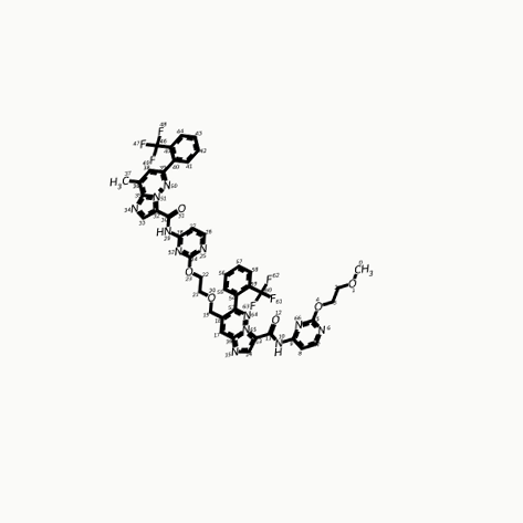 COCCOc1nccc(NC(=O)c2cnc3cc(COCCOc4nccc(NC(=O)c5cnc6c(C)cc(-c7ccccc7C(F)(F)F)nn56)n4)c(-c4ccccc4C(F)(F)F)nn23)n1